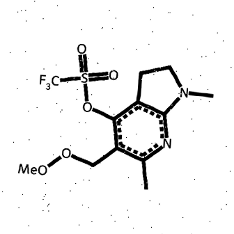 COOCc1c(C)nc2c(c1OS(=O)(=O)C(F)(F)F)CCN2C